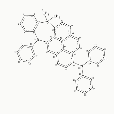 CC1(C)c2ccccc2B(c2ccccc2)c2cc3ccc(N(c4ccccc4)c4ccccc4)c4ccc5ccc1c2c5c34